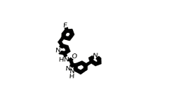 O=C(Nc1ccc(Cc2cccc(F)c2)nc1)c1n[nH]c2ccc(-c3cccnc3)cc12